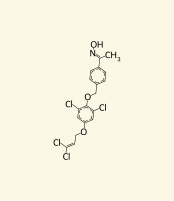 CC(=NO)c1ccc(COc2c(Cl)cc(OCC=C(Cl)Cl)cc2Cl)cc1